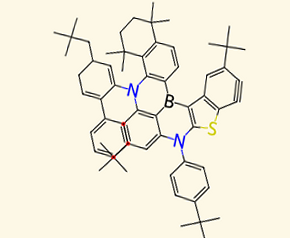 CC(C)(C)CC1C=C(N2c3cc(C(C)(C)C)cc4c3B(c3ccc5c(c32)C(C)(C)CCC5(C)C)c2c(sc3c#cc(C(C)(C)C)cc23)N4c2ccc(C(C)(C)C)cc2)C(c2ccccc2)=CC1